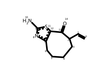 C=CC1CCCCc2nc(N)sc2C1=O